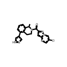 CC1c2cccc(-c3cn[nH]c3)c2CCN1C(=O)c1cc2ncc(Cl)cn2n1